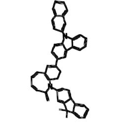 C=C1/C=C\C=C/C2=C(CCC(c3ccc4c(c3)c3ccccc3n4-c3ccc4ccccc4c3)=C2)N1c1ccc2c(c1)C(C)(C)c1ccccc1-2